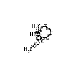 CCOCOc1cc(O)c2c(c1Cl)CC/C=C/CC/C=C/C[C@@H](C)OC2=O